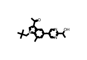 CC(=O)c1cn(CC(C)(C)C)c2c(C)cc(-c3cnc(C(C)O)nc3)cc12